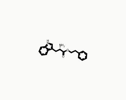 N[C@@H](Cc1c[nH]c2ccccc12)C(=O)OCCc1ccccc1